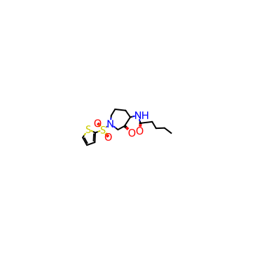 CCCCC(=O)NC1CCCN(S(=O)(=O)c2cccs2)CC1=O